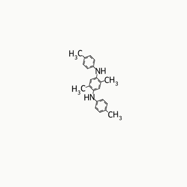 Cc1ccc(Nc2cc(C)c(Nc3ccc(C)cc3)cc2C)cc1